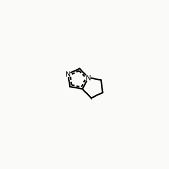 [CH]1CCn2cncc21